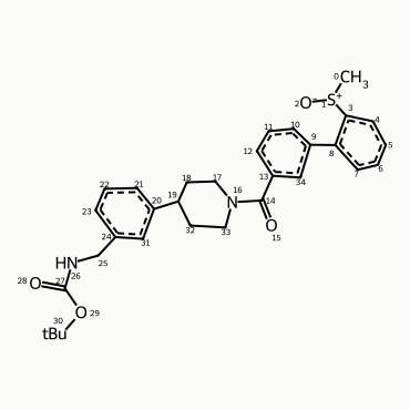 C[S+]([O-])c1ccccc1-c1cccc(C(=O)N2CCC(c3cccc(CNC(=O)OC(C)(C)C)c3)CC2)c1